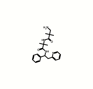 CC(C)(CN)C(=O)NC(C)(C)C(=O)NC(Cc1ccccn1)c1ccccc1